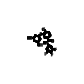 O=C(Nc1cc(F)c(F)c(F)c1)c1ccc(Cl)c(SC2CC(O)CC(O)C2)c1